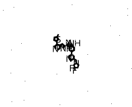 Cc1ccc(-c2cncc3[nH]c(-c4n[nH]c5ccc(-c6cncc(CN7CCC(F)(F)C7)c6)cc45)cc23)s1